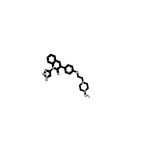 CN1CCN(CCOc2ccc(-c3cc4ccccc4n(-c4c[nH]nn4)c3=O)cc2)CC1